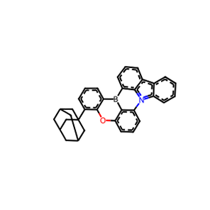 c1cc2c3c(c1)-n1c4ccccc4c4cccc(c41)B3c1cccc(C34CC5CC(CC(C5)C3)C4)c1O2